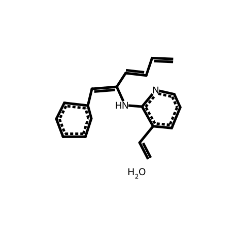 C=CC=CC(=Cc1ccccc1)Nc1ncccc1C=C.O